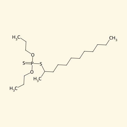 CCCCCCCCCCC(C)SP(=S)(OCCC)OCCC